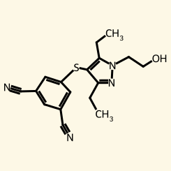 CCc1nn(CCO)c(CC)c1Sc1cc(C#N)cc(C#N)c1